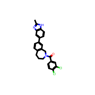 Cc1nc2cc(-c3ccc4c(c3)CN(C(=O)c3ccc(Cl)c(Cl)c3)CCC4)ccc2[nH]1